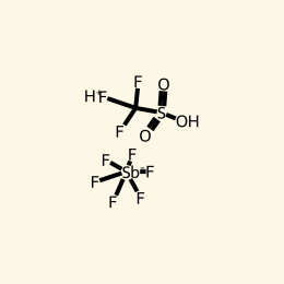 O=S(=O)(O)C(F)(F)F.[F][Sb-]([F])([F])([F])([F])[F].[H+]